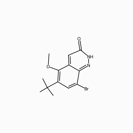 COc1c(C(C)(C)C)cc(Br)c2n[nH]c(=O)cc12